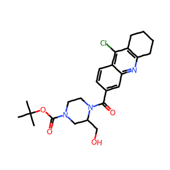 CC(C)(C)OC(=O)N1CCN(C(=O)c2ccc3c(Cl)c4c(nc3c2)CCCC4)C(CO)C1